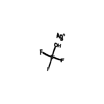 O[B-](F)(F)F.[Ag+]